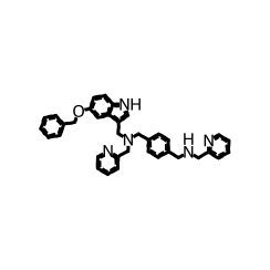 c1ccc(COc2ccc3[nH]cc(CN(Cc4ccc(CNCc5ccccn5)cc4)Cc4ccccn4)c3c2)cc1